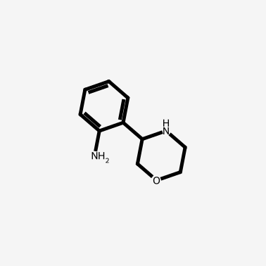 Nc1ccccc1C1COCCN1